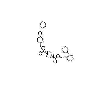 O=C(OCc1ccc(OCc2ccccc2)cc1)N1CCN(C(=O)OCC2c3ccccc3-c3ccccc32)CC1